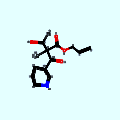 C=CCOC(=O)C(C(=O)CC)(C(=O)c1cccnc1)C(F)(F)F